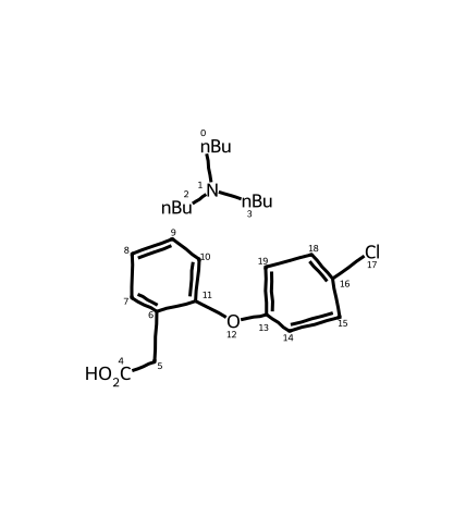 CCCCN(CCCC)CCCC.O=C(O)Cc1ccccc1Oc1ccc(Cl)cc1